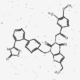 CCc1cc2c(=O)n(CC(=O)c3ccc(OC)c(C)c3)c(=O)n(Cc3ccc(-c4ccccc4-c4noc(=O)[nH]4)cc3)c2s1